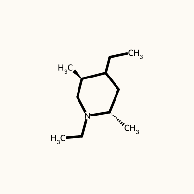 CCC1C[C@H](C)N(CC)C[C@H]1C